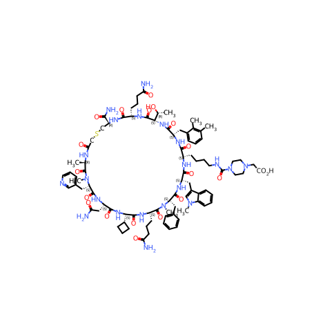 Cc1cccc(C[C@@H]2NC(=O)[C@H](CCCCNC(=O)N3CCN(CC(=O)O)CC3)NC(=O)[C@H](Cc3cn(C)c4ccccc34)NC(=O)[C@H](Cc3ccccc3)N(C)C(=O)[C@H](CCCC(N)=O)NC(=O)[C@H](C3CCC3)NC(=O)[C@H](CC(N)=O)NC(=O)[C@H](Cc3cccnc3)N(C)C(=O)[C@@H](C)NC(=O)CSC[C@@H](C(N)=O)NC(=O)[C@H](CCCC(N)=O)NC(=O)[C@H]([C@@H](C)O)NC2=O)c1C